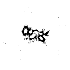 CC(C)[C@H](Nc1nc(CNC(=O)C2(c3ccccc3)CC2)nc2ccccc12)C(N)=O